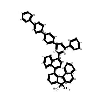 CC1(C)c2cccc(-c3ccc(-c4nc(-c5ccccc5)cc(-c5ccc(-c6ccc(-c7ccccc7)cc6)cc5)n4)c4ccccc34)c2-c2c1ccc1ccccc21